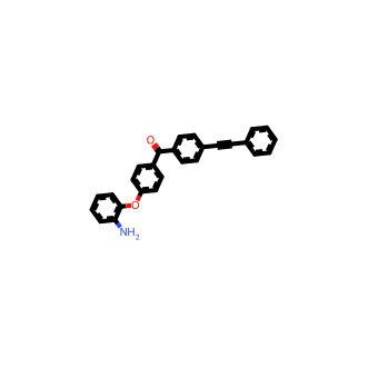 Nc1ccccc1Oc1ccc(C(=O)c2ccc(C#Cc3ccccc3)cc2)cc1